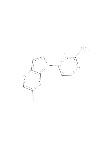 Cc1ccc2ccn(-c3ccnc(N)n3)c2c1